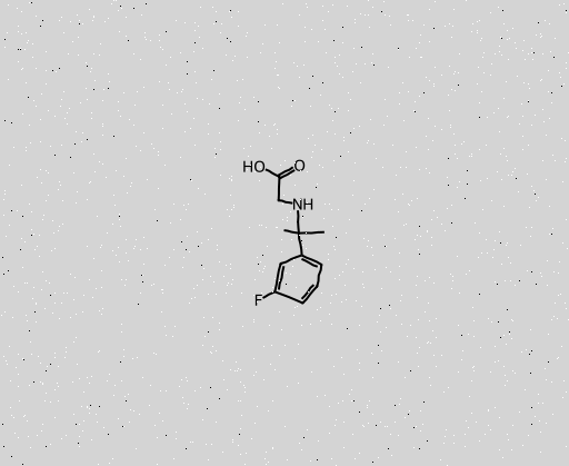 CC(C)(NCC(=O)O)c1cccc(F)c1